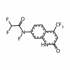 O=C(C(F)F)N(F)c1ccc2c(C(F)(F)F)cc(=O)[nH]c2c1